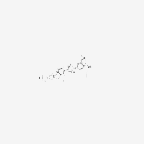 CCC1(CC)CC(=O)c2cc(-c3cnc(-c4ccc(NC(C)C)c(C#N)c4)nc3)ccc2O1